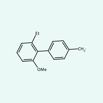 [CH2]c1ccc(-c2c(CC)cccc2OC)cc1